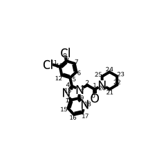 O=C(Cn1c(-c2ccc(Cl)c(Cl)c2)nc2cccnc21)N1CCCCC1